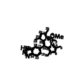 CO[B-]1(C)n2c(C)cc(C)c2C(c2ccc3nn[nH]c3c2)=C2C(C)=CC(C)=[N+]21